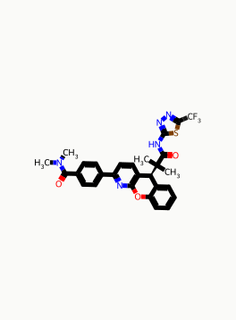 CN(C)C(=O)c1ccc(-c2ccc3c(n2)Oc2ccccc2[C@@H]3C(C)(C)C(=O)Nc2nnc(C(F)(F)F)s2)cc1